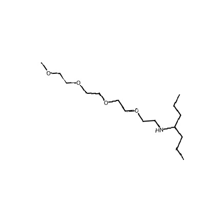 CCCC(CCC)NCCOCCOCCOCCOC